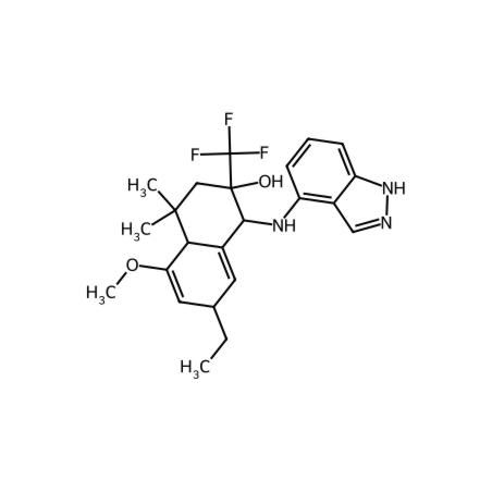 CCC1C=C(OC)C2C(=C1)C(Nc1cccc3[nH]ncc13)C(O)(C(F)(F)F)CC2(C)C